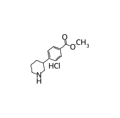 COC(=O)c1ccc(C2CCCNC2)cc1.Cl